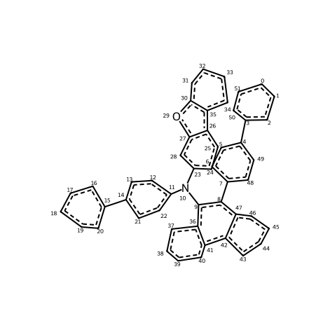 c1ccc(-c2ccc(-c3c(N(c4ccc(-c5ccccc5)cc4)c4ccc5c(c4)oc4ccccc45)c4ccccc4c4ccccc34)cc2)cc1